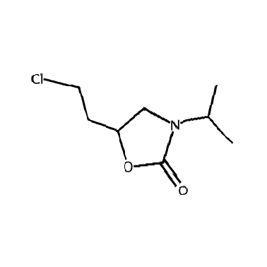 CC(C)N1CC(CCCl)OC1=O